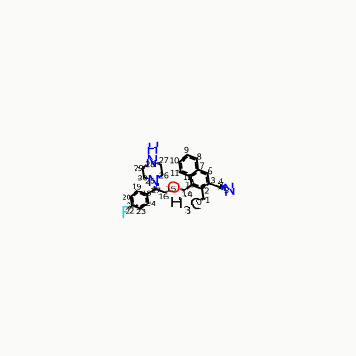 CCc1c(C#N)cc2ccccc2c1COCC(c1ccc(F)cc1)N1CCNCC1